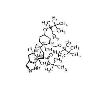 CC(C)(C)OC(=O)NC[C@]12C[C@]1([C@@]1(C)CCC(O[Si](C)(C)C(C)(C)C)C[C@@H]1CO[Si](C)(C)C(C)(C)C)CC[C@]1(C)c3[nH]ncc3C[C@@H]21